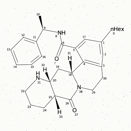 CCCCCCc1cc2c(c(C(=O)N[C@H](C)c3ccccc3)c1)[C@H]1C[C@H]3NCCC[C@H]3C(=O)N1CC2